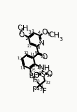 COc1cc(OC)nc(C(=O)c2cccc(Br)c2NS(=O)(=O)CC(F)(F)F)c1